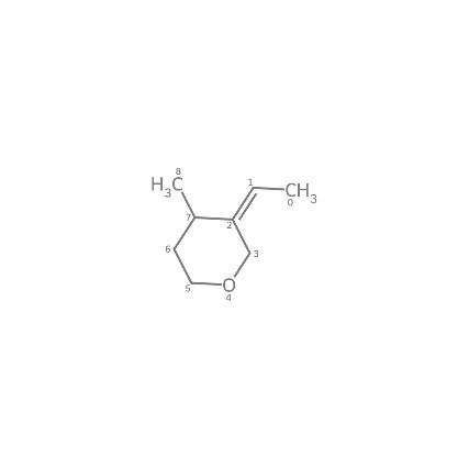 C/C=C1\COCCC1C